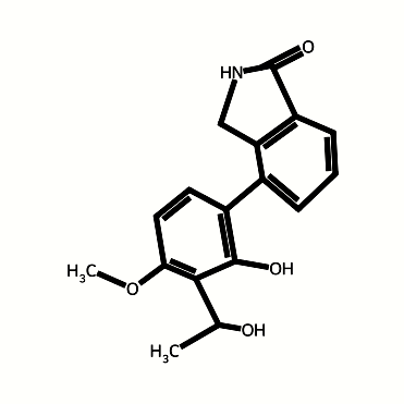 COc1ccc(-c2cccc3c2CNC3=O)c(O)c1C(C)O